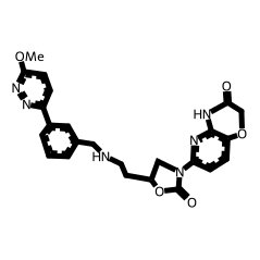 COc1ccc(-c2cccc(CNCCC3CN(c4ccc5c(n4)NC(=O)CO5)C(=O)O3)c2)nn1